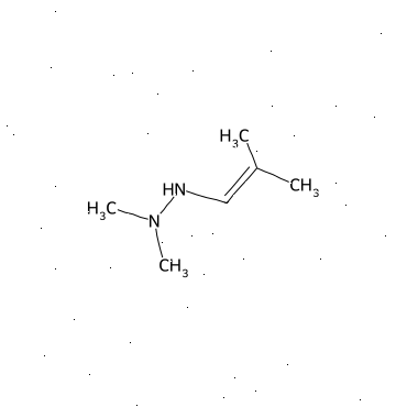 CC(C)=CNN(C)C